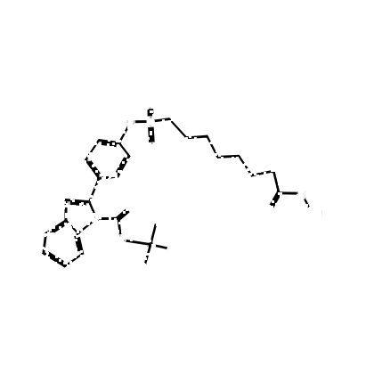 CC(C)(C)OC(=O)n1c(-c2ccc(NS(=O)(=O)CCCCCCCC(=O)NO)cc2)cc2ccccc21